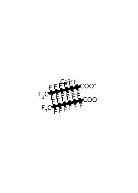 O=C([O-])C(F)(F)C(F)(F)C(F)(F)C(F)(F)C(F)(F)C(F)(F)C(F)(F)F.O=C([O-])C(F)(F)C(F)(F)C(F)(F)C(F)(F)C(F)(F)C(F)(F)C(F)(F)F.[Ca+2]